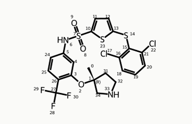 C[C@@]1(Oc2cc(NS(=O)(=O)c3ccc(Sc4c(Cl)cccc4Cl)s3)ccc2C(F)(F)F)CCNC1